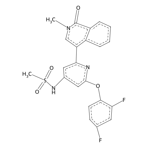 Cn1cc(-c2cc(NS(C)(=O)=O)cc(Oc3ccc(F)cc3F)n2)c2ccccc2c1=O